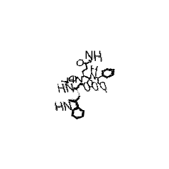 COC(=O)[C@@H](NC(=O)[C@H](CCC(=O)C=N)NC(=O)[C@H](Cc1c[nH]c2ccccc12)NC(C)=O)c1ccccc1